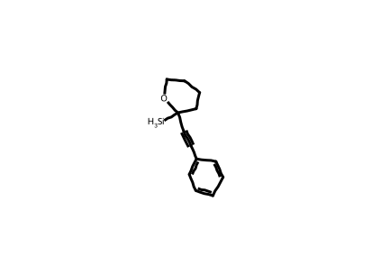 [SiH3]C1(C#Cc2ccccc2)CCCCO1